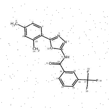 Cc1ccc(-c2nnc(NC(=O)c3cccc(C(F)(F)F)c3)o2)c(C)c1